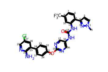 Cn1ccc(-c2ccc(C(F)(F)F)cc2NC(=O)Nc2cnc(Oc3ccc(-c4cc(Cl)cnc4N)cc3)nc2)n1